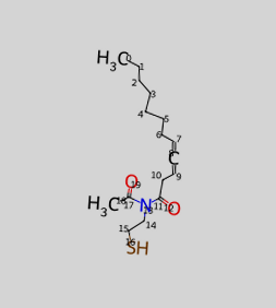 CCCCCCCC=C=CCC(=O)N(CCS)C(C)=O